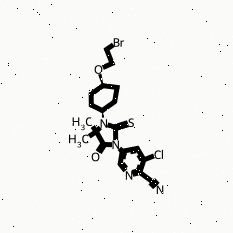 CC1(C)C(=O)N(c2cnc(C#N)c(Cl)c2)C(=S)N1[C@H]1CC[C@H](OCCBr)CC1